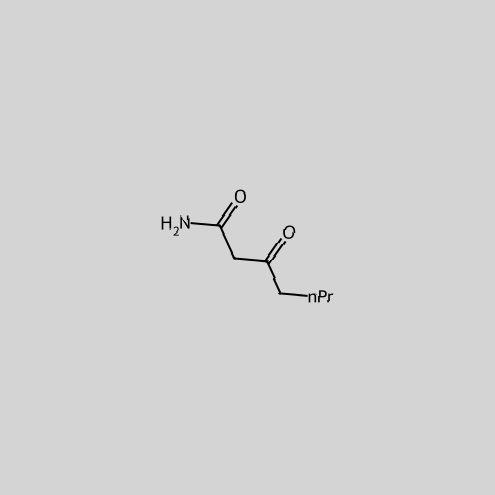 CCCCC(=O)CC(N)=O